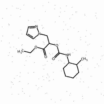 CCOC(=O)C(Cn1cccn1)OC(=O)NC1CCCCC1C